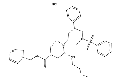 CCCCN[C@@H]1CC(C(=O)OCc2ccccc2)CCN1CC[C@@H](CN(C)S(=O)(=O)c1ccccc1)c1ccccc1.Cl